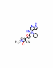 CN(C)C(=O)/C(C#N)=C/c1ccc(C2Nc3cnc4[nH]ccc4c3N2C2CCCCC2)o1